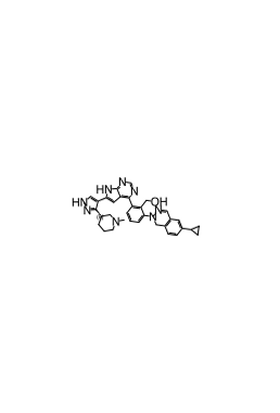 CN1CCC[C@@H](c2n[nH]cc2-c2cc3c(-c4cccc(N5Cc6ccc(C7CC7)cc6C=N5)c4CO)ncnc3[nH]2)C1